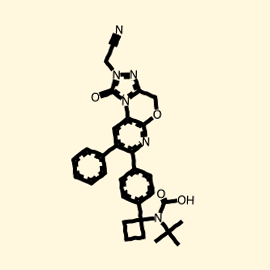 CC(C)(C)N(C(=O)O)C1(c2ccc(-c3nc4c(cc3-c3ccccc3)-n3c(nn(CC#N)c3=O)CO4)cc2)CCC1